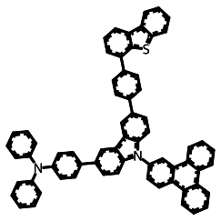 c1ccc(N(c2ccccc2)c2ccc(-c3ccc4c(c3)c3cc(-c5ccc(-c6cccc7c6sc6ccccc67)cc5)ccc3n4-c3ccc4c5ccccc5c5ccccc5c4c3)cc2)cc1